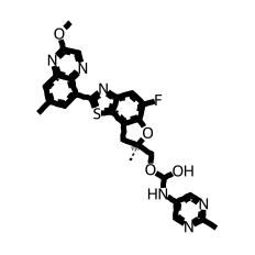 COc1cnc2c(-c3nc4cc(F)c5c(c4s3)C[C@](C)(COC(O)Nc3cnc(C)nc3)O5)cc(C)cc2n1